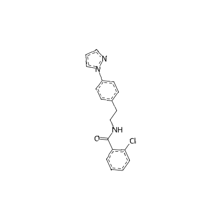 O=C(NCCc1ccc(-n2cccn2)cc1)c1ccccc1Cl